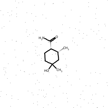 C[C@@H]1CC(C)(O)CC[C@@H]1C(N)=O